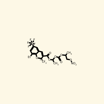 CCc1cc(S(F)(F)(F)(F)F)cc2c1O[C@H](C(F)(F)F)C(C(=O)OC(C)OC(=O)OC(C)CO[N+](=O)[O-])=C2